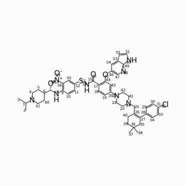 CC(C)N1CCC(CNc2ccc(SNC(=O)c3ccc(N4CCN(CC5=C(c6ccc(Cl)cc6)CC(C)(C)CC5)CC4)cc3Oc3cnc4[nH]ccc4c3)cc2[N+](=O)[O-])CC1